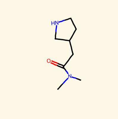 CN(C)C(=O)CC1CCNC1